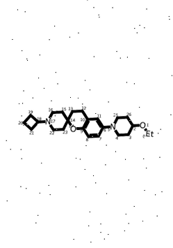 CCOC1CCN(c2ccc3c(c2)CCC2(CCN(C4CCC4)CC2)O3)CC1